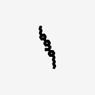 CCCCCCc1ccc(C(=O)Oc2ccc(-c3ccc(CCCC)cc3)cc2)cc1